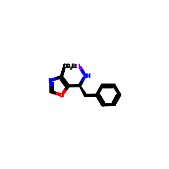 CCOC(=O)c1ncoc1[C@H](Cc1ccccc1)NI